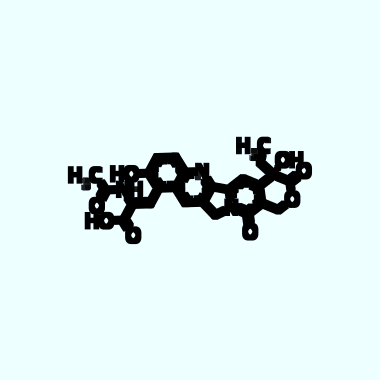 CC[C@@]1(O)C(=O)OCc2c1cc1n(c2=O)Cc2cc3c(C=C(NC(C)=O)C(=O)O)c(O)ccc3nc2-1